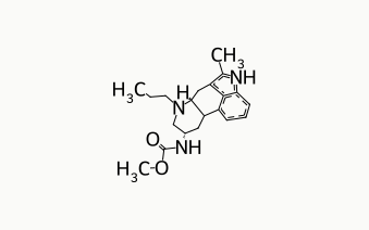 CCCN1C[C@@H](NC(=O)OC)CC2c3cccc4[nH]c(C)c(c34)C[C@H]21